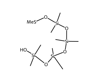 CSO[Si](C)(C)O[Si](C)(C)O[Si](C)(C)O[Si](C)(C)O